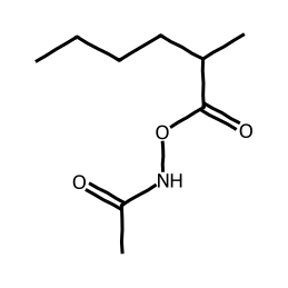 CCCCC(C)C(=O)ONC(C)=O